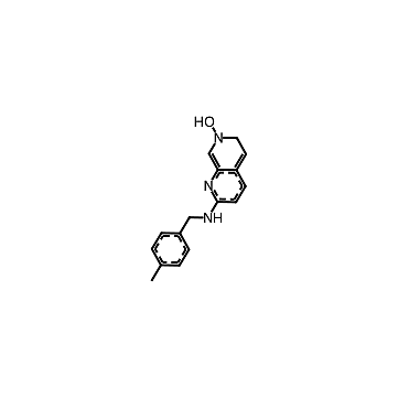 Cc1ccc(CNc2ccc3c(n2)=CN(O)CC=3)cc1